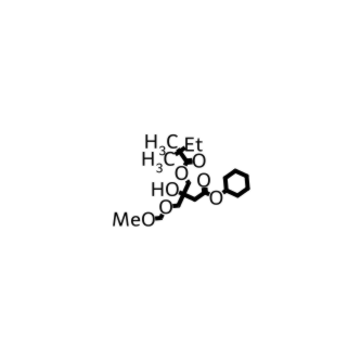 CCC(C)(C)C(=O)OCC(O)(COCOC)CC(=O)OC1CCCCC1